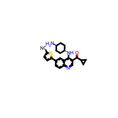 N#Cc1ccc(-c2ccc3ncc(C(=O)C4CC4)c(N[C@H]4CC[C@H](N)CC4)c3c2)s1